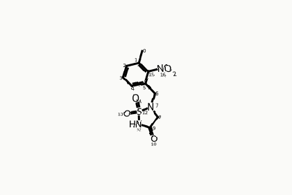 Cc1cccc(CN2CC(=O)NS2(=O)=O)c1[N+](=O)[O-]